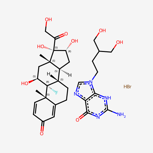 Br.C[C@]12C=CC(=O)C=C1CC[C@H]1[C@@H]3C[C@@H](O)[C@](O)(C(=O)CO)[C@@]3(C)C[C@H](O)[C@@]12F.Nc1nc(=O)c2ncn(CCC(CO)CO)c2[nH]1